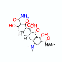 CNC(=O)c1cc(N(C)C)c2c(c1O)C(=O)C1=C(O)[C@]3(O)C(=O)C(C(N)=O)C(O)C[C@@H]3C[C@@H]1C2